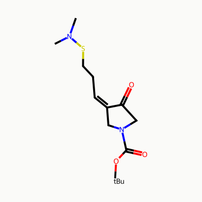 CN(C)SCC/C=C1/CN(C(=O)OC(C)(C)C)CC1=O